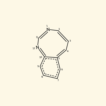 [C]1=NC=CC=c2ccccc2=N1